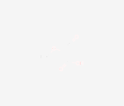 COC(=C=O)C(=O)O